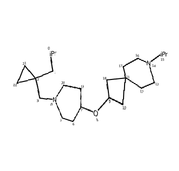 CC(C)CC1(CN2CCC(OC3CC4(CCN(C(C)C)CC4)C3)CC2)CC1